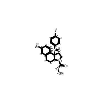 CC(C)(C)OC(=O)N1CCC2(S(=O)(=O)c3ccc(F)cc3)c3ccc(Br)cc3CCC12